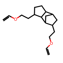 C=COCCC1CC2CC1C1C(CCOC=C)CCC21